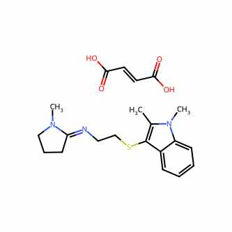 Cc1c(SCC/N=C2\CCCN2C)c2ccccc2n1C.O=C(O)/C=C/C(=O)O